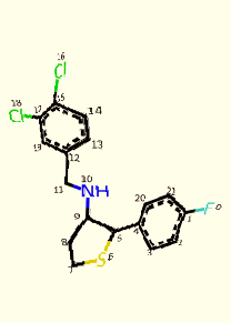 Fc1ccc(C2SCCC2NCc2ccc(Cl)c(Cl)c2)cc1